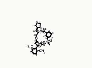 Cc1cccc(C)c1-c1cc2nc(n1)NS(=O)(=O)c1cccc(c1)C(=O)NC(CC1CCCC1)CO2